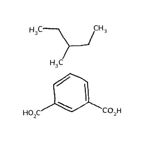 CCC(C)CC.O=C(O)c1cccc(C(=O)O)c1